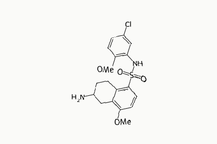 COc1ccc(Cl)cc1NS(=O)(=O)c1ccc(OC)c2c1CCC(N)C2